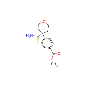 COC(=O)c1ccc(C2(C(N)=S)CCOCC2)cc1